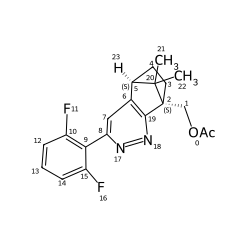 CC(=O)OC[C@]12CC[C@H](c3cc(-c4c(F)cccc4F)nnc31)C2(C)C